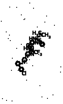 CN(C)CC[C@H](CSc1ccccc1)Nc1ccc(S(=O)(=O)Nc2nc(C(F)(F)F)nc3c2CCN(C2CCN(Cc4ccccc4-c4ccc(Cl)cc4)CC2)C3)cc1[N+](=O)[O-]